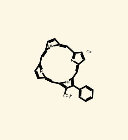 O=C(O)c1c(-c2ccccc2)c2cc3nc(cc4ccc(cc5nc(cc1[nH]2)C=C5)[nH]4)C=C3.[Cu]